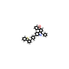 c1ccc(-c2nc3cc(-c4ccc(-c5cccc6c5sc5ccccc56)cc4)ccc3c3c2ccc2oc4ccccc4c23)cc1